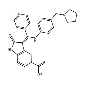 O=C1Nc2ccc(C(=O)O)cc2C1=C(Nc1ccc(CN2CCCC2)cc1)c1ccncc1